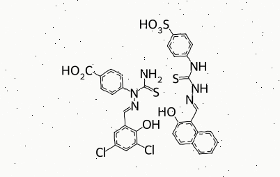 NC(=S)N(N=Cc1cc(Cl)cc(Cl)c1O)c1ccc(C(=O)O)cc1.O=S(=O)(O)c1ccc(NC(=S)NN=Cc2c(O)ccc3ccccc23)cc1